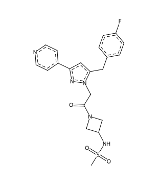 CS(=O)(=O)NC1CN(C(=O)Cn2nc(-c3ccncc3)cc2Cc2ccc(F)cc2)C1